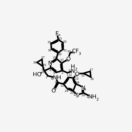 NCc1cc([C@@](O)(CNC(=O)c2cc(OC3CC3)c3nc(N)sc3c2)C2CC2)nc(-c2ccc(F)cc2)c1OCC(F)(F)F